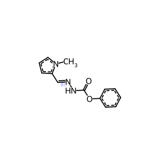 Cn1cccc1/C=N/NC(=O)Oc1ccccc1